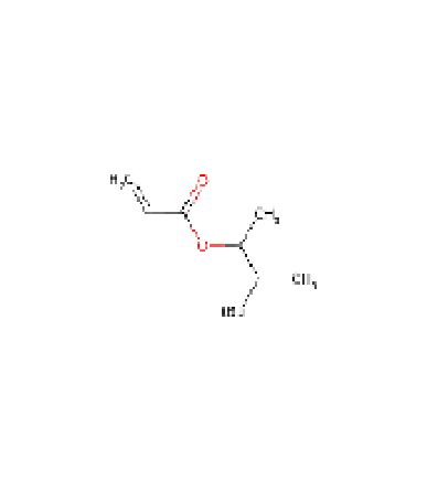 C=CC(=O)OC(C)C(C)C(C)(C)C